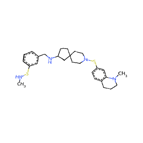 CNSc1cccc(CNC2CCC3(CCN(Sc4ccc5c(c4)N(C)CCC5)CC3)C2)c1